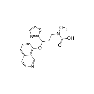 CN(CCC(Oc1cccc2ccncc12)c1nccs1)C(=O)O